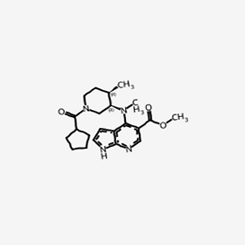 COC(=O)c1cnc2[nH]ccc2c1N(C)[C@H]1CN(C(=O)C2CCCC2)CC[C@H]1C